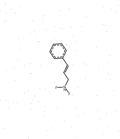 F[SiH](F)CC=Cc1ccccc1